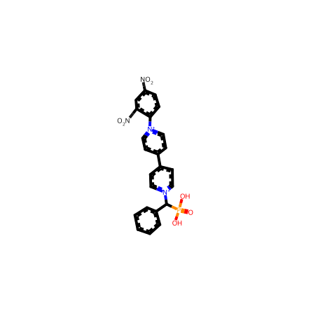 O=[N+]([O-])c1ccc(-[n+]2ccc(-c3cc[n+](C(c4ccccc4)P(=O)(O)O)cc3)cc2)c([N+](=O)[O-])c1